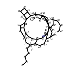 CCCCC[C@@]1(C)CC2CCC3CC2CCC2/C=C\C4CCC5CC(C6C7CCC7C36)[C@@](C)(CN=O)CC3CCCCC(CC5C3)C4CCC21